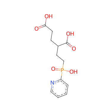 O=C(O)CCC(CCP(=O)(O)c1ccccn1)C(=O)O